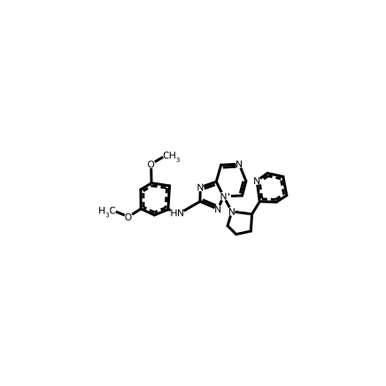 COc1cc(NC2=N[N+]3(N4CCCC4c4ccccn4)C=CN=CC3=N2)cc(OC)c1